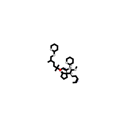 C/C=C\CC[C@H](C(=O)OC)[C@]1(/C(=C\CC(C)(C)CCC(C)COC2CCCCO2)O[C@@H]2CCCCO2)CCCC1=O